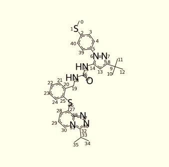 CSc1ccc(-n2nc(C(C)(C)C)cc2NC(=O)NCc2ccccc2Sc2cccn3c(C(C)C)nnc23)cc1